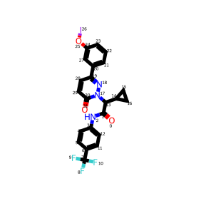 O=C(Nc1ccc(C(F)(F)F)cc1)C(C1CC1)n1nc(-c2cccc(OI)c2)ccc1=O